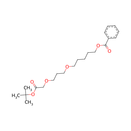 CC(C)(C)OC(=O)COCCCOCCCCCOC(=O)c1ccccc1